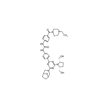 CCN1CCN(C(=O)c2ccc(NC(=O)Nc3ccc(-c4nc(N5CC6CCC(C5)O6)nc(N5[C@H](CO)CC[C@@H]5CO)n4)cc3)cc2)CC1